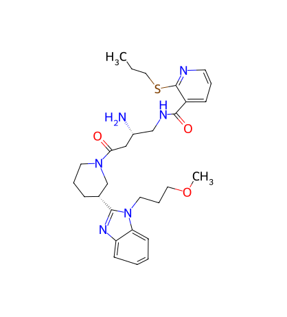 CCCSc1ncccc1C(=O)NC[C@@H](N)CC(=O)N1CCC[C@@H](c2nc3ccccc3n2CCCOC)C1